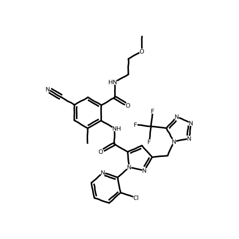 COCCNC(=O)c1cc(C#N)cc(C)c1NC(=O)c1cc(Cn2nnnc2C(F)(F)F)nn1-c1ncccc1Cl